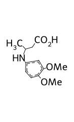 COc1ccc(NC(C)CC(=O)O)cc1OC